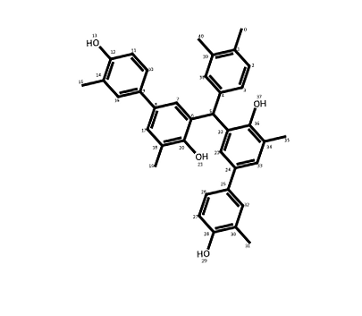 Cc1ccc(C(c2cc(-c3ccc(O)c(C)c3)cc(C)c2O)c2cc(-c3ccc(O)c(C)c3)cc(C)c2O)cc1C